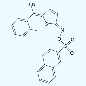 Cc1ccccc1C(C#N)=C1C=CC(=NOS(=O)(=O)c2ccc3ccccc3c2)S1